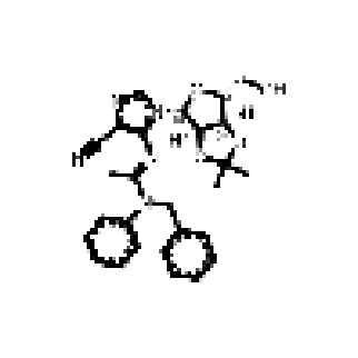 CC(=Nc1c(C#N)ncn1[C@@H]1O[C@H](CO)[C@H]2OC(C)(C)O[C@H]21)N(Cc1ccccc1)c1ccccc1